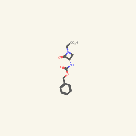 O=C(O)CN1C[C@H](NC(=O)OCc2ccccc2)C1=O